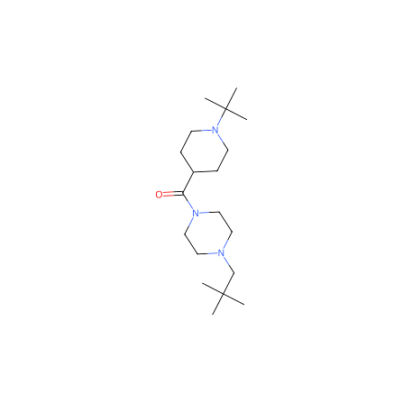 CC(C)(C)CN1CCN(C(=O)C2CCN(C(C)(C)C)CC2)CC1